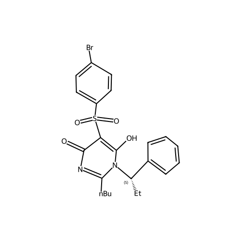 CCCCc1nc(=O)c(S(=O)(=O)c2ccc(Br)cc2)c(O)n1[C@@H](CC)c1ccccc1